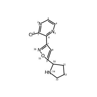 Clc1nccnc1-c1cc(C2CCCN2)on1